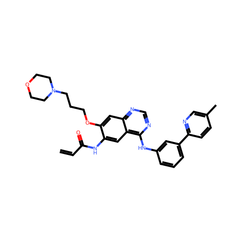 C=CC(=O)Nc1cc2c(Nc3cccc(-c4ccc(C)cn4)c3)ncnc2cc1OCCCN1CCOCC1